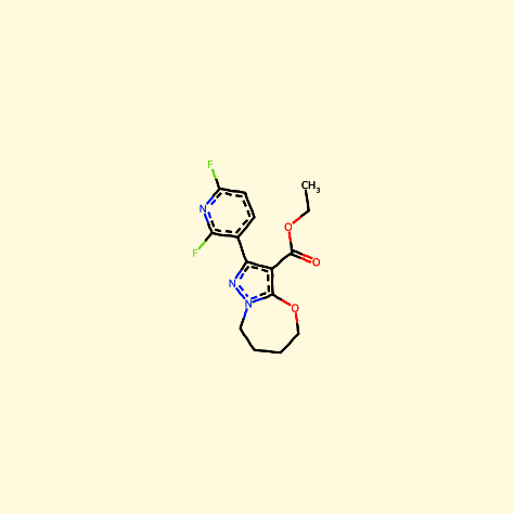 CCOC(=O)c1c(-c2ccc(F)nc2F)nn2c1OCCCC2